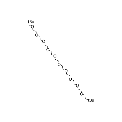 CC(C)(C)CCOCCOCCOCCOCCOCCOCCOCCOCCOCCOCC(C)(C)C